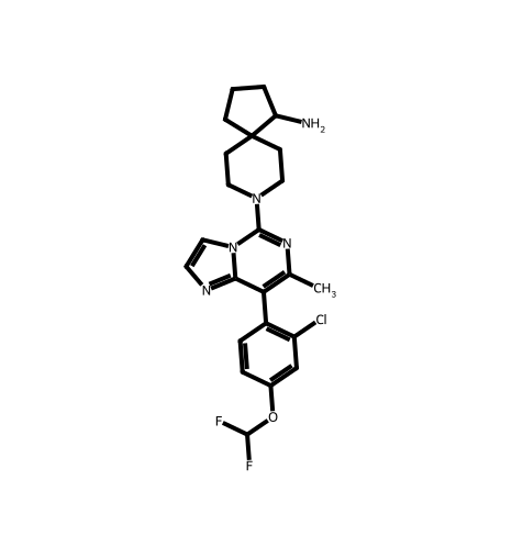 Cc1nc(N2CCC3(CCCC3N)CC2)n2ccnc2c1-c1ccc(OC(F)F)cc1Cl